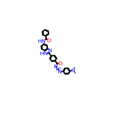 CN(C)c1ccc(N=[N+]=NC(=O)c2ccc(-c3nc4cc(NC(=O)c5ccccc5)ccc4[nH]3)cc2)cc1